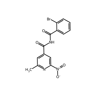 Cc1cc(C(=O)NC(=O)c2ccccc2Br)cc([N+](=O)[O-])n1